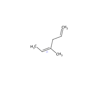 C=CC/C(C)=C\C